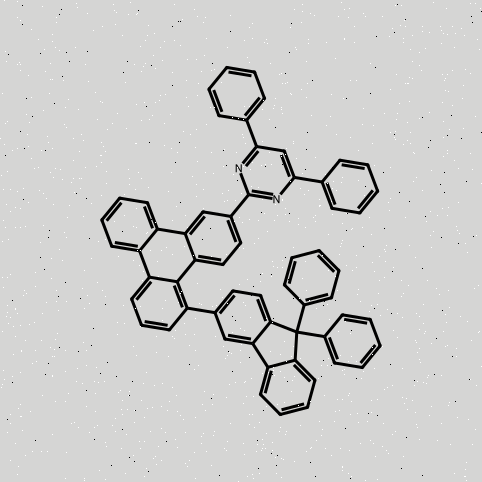 c1ccc(-c2cc(-c3ccccc3)nc(-c3ccc4c(c3)c3ccccc3c3cccc(-c5ccc6c(c5)-c5ccccc5C6(c5ccccc5)c5ccccc5)c34)n2)cc1